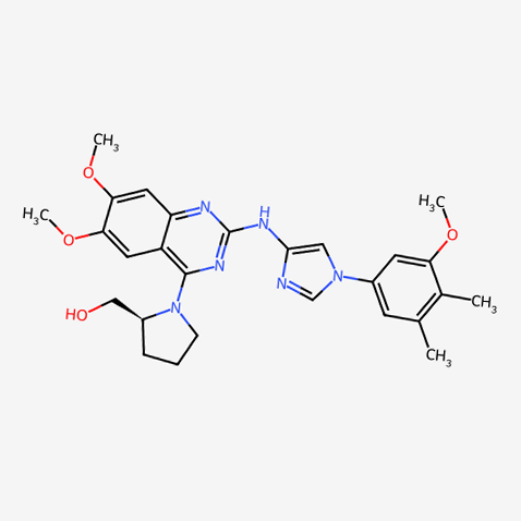 COc1cc2nc(Nc3cn(-c4cc(C)c(C)c(OC)c4)cn3)nc(N3CCC[C@H]3CO)c2cc1OC